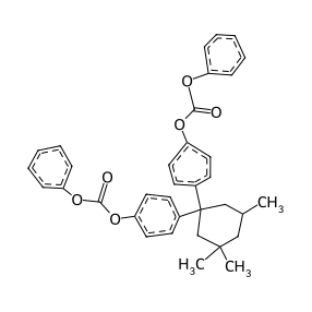 CC1CC(C)(C)CC(c2ccc(OC(=O)Oc3ccccc3)cc2)(c2ccc(OC(=O)Oc3ccccc3)cc2)C1